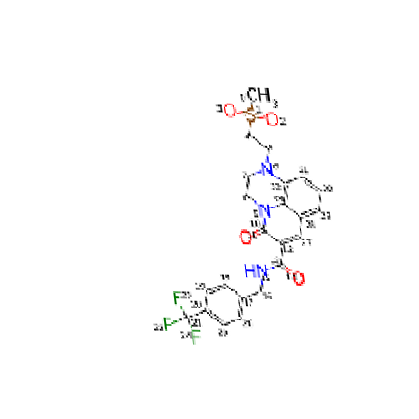 CS(=O)(=O)CCN1CCn2c(=O)c(C(=O)NCc3ccc(C(F)(F)F)cc3)cc3cccc1c32